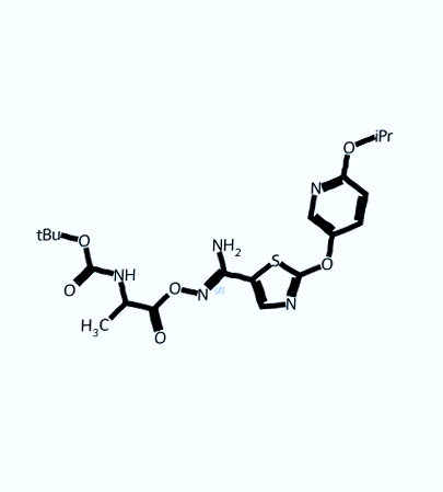 CC(C)Oc1ccc(Oc2ncc(/C(N)=N/OC(=O)C(C)NC(=O)OC(C)(C)C)s2)cn1